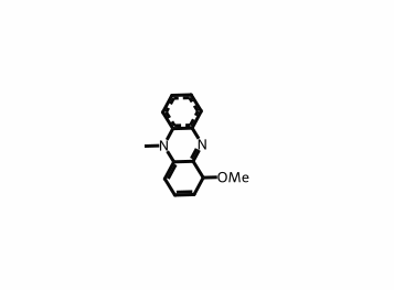 COC1C=CC=C2C1=Nc1ccccc1N2C